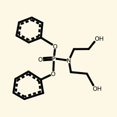 O=P(Oc1ccccc1)(Oc1ccccc1)N(CCO)CCO